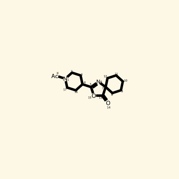 CC(=O)N1CCC(C2=NC3(CCCCC3)C(=O)O2)CC1